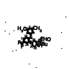 CC(C)(C)OC=O.Cc1cc(C)cc(Sc2ccc(C(F)F)cc2N2CCNCC2)c1